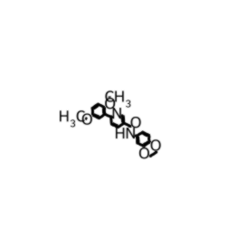 COc1ccc(OC)c(-c2ccc(C(=O)Nc3ccc4c(c3)OCCO4)cn2)c1